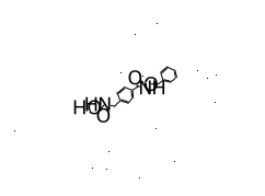 O=C(O)NCc1ccc(C(=O)NOCc2ccccc2)cc1